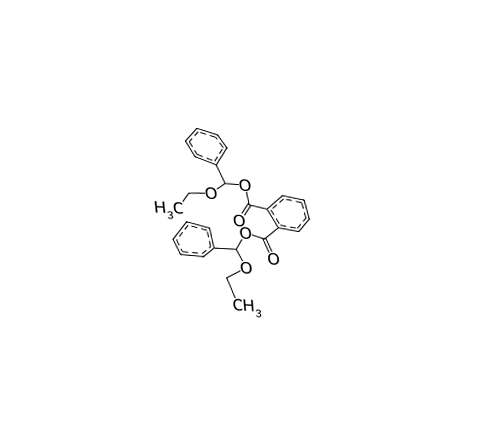 CCOC(OC(=O)c1ccccc1C(=O)OC(OCC)c1ccccc1)c1ccccc1